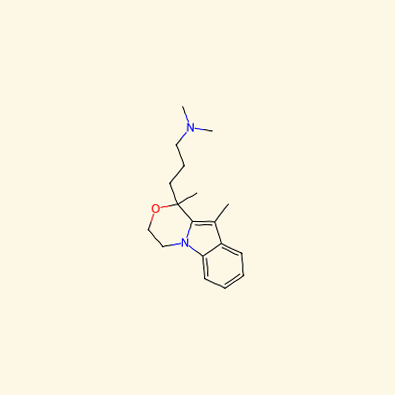 Cc1c2n(c3ccccc13)CCOC2(C)CCCN(C)C